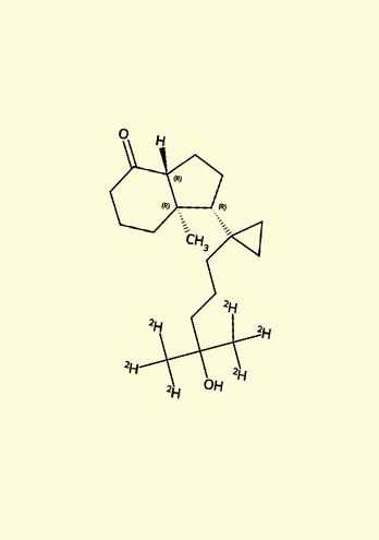 [2H]C([2H])([2H])C(O)(CCCC1([C@H]2CC[C@H]3C(=O)CCC[C@]23C)CC1)C([2H])([2H])[2H]